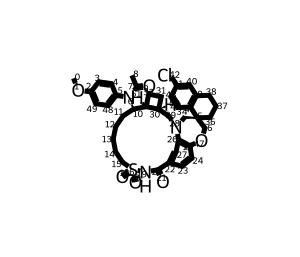 COc1ccc(N(C(C)=O)[C@H]2CCCCCS(=O)(=O)NC(=O)c3ccc4c(c3)N(C[C@@H]3CC[C@H]32)C[C@@]2(CCCc3cc(Cl)ccc32)CO4)cc1